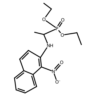 CCOP(=O)(OCC)C(C)Nc1ccc2ccccc2c1[N+](=O)[O-]